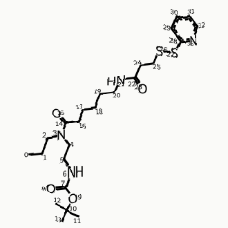 CCCN(CCNC(=O)OC(C)(C)C)C(=O)CCCCCNC(=O)CCSSc1ccccn1